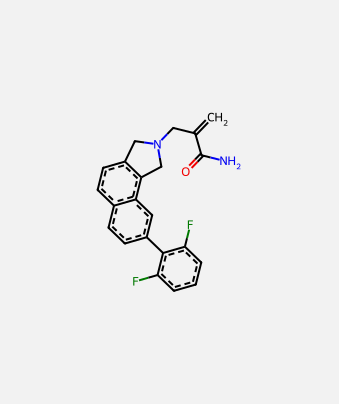 C=C(CN1Cc2ccc3ccc(-c4c(F)cccc4F)cc3c2C1)C(N)=O